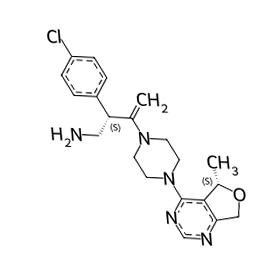 C=C([C@H](CN)c1ccc(Cl)cc1)N1CCN(c2ncnc3c2[C@H](C)OC3)CC1